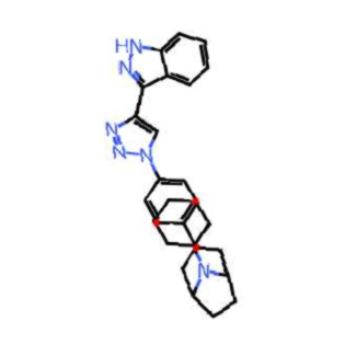 c1ccc2c(-c3cn(-c4ccc(C5CC6CCC(C5)N6C5CCCCC5)cc4)nn3)n[nH]c2c1